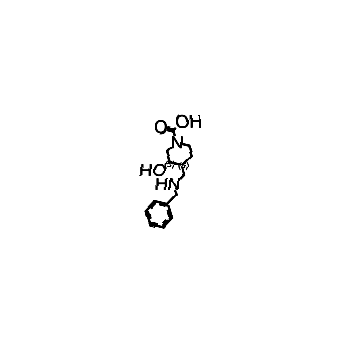 O=C(O)N1CC[C@@H](CNCc2ccccc2)[C@H](O)C1